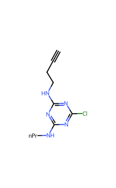 C#CCCNc1nc(Cl)nc(NCCC)n1